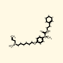 C=CCN(C)CCCCCCOc1ccc(N(C)C(=S)NCCC2=CCCCC2)cc1